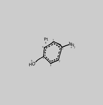 Nc1ccc(O)cc1.[Pt]